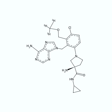 [2H]C([2H])([2H])OCc1c(Cl)ccc(N2CC[C@](N)(C(=O)NC3CC3)C2)c1Cn1cnc2c(N)ncnc21